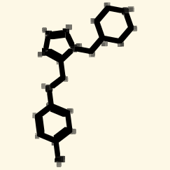 CC(=O)c1ccc(OCc2nnnn2CC2CCOCC2)cc1